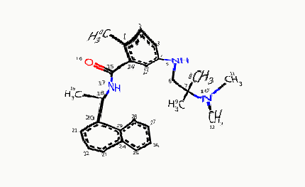 Cc1ccc(NCC(C)(C)N(C)C)cc1C(=O)N[C@H](C)c1cccc2ccccc12